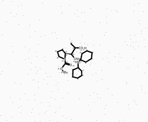 C1CCC(NC2CCCCC2)CC1.COC(C(C)C(=O)O)[C@@H]1CCCN1C(=O)OC(C)(C)C